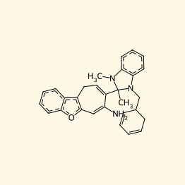 CN1c2ccccc2N(CC2C=CC=CC2)C1(C)C1=CCc2c(oc3ccccc23)C=C1N